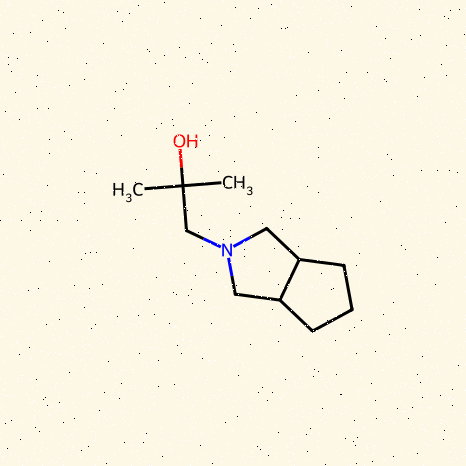 CC(C)(O)CN1CC2CCCC2C1